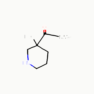 CNC(=O)C1(C)CCCNC1